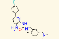 CN(C)Cc1ccc2c(c1)CN(C(=O)Nc1nc(-c3ccc(F)cc3)ccc1N)C2